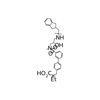 CC[C@H](Cc1ccc(-c2cccc(S(=O)(=O)N(C)CC(O)CNC(C)(C)CC3Cc4ccccc4C3)c2)cc1)C(=O)O